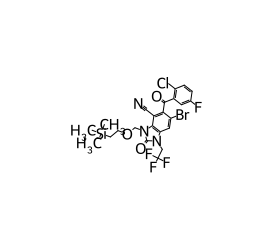 C[Si](C)(C)CCOCn1c(=O)n(CC(F)(F)F)c2cc(Br)c(C(=O)c3cc(F)ccc3Cl)c(C#N)c21